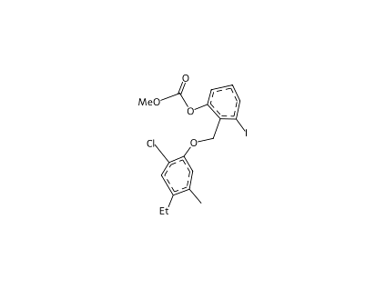 CCc1cc(Cl)c(OCc2c(I)cccc2OC(=O)OC)cc1C